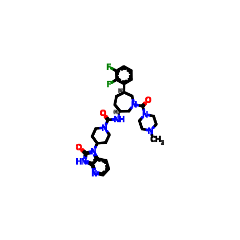 CN1CCN(C(=O)N2C[C@H](NC(=O)N3CCC(n4c(=O)[nH]c5ncccc54)CC3)CC[C@@H](c3cccc(F)c3F)C2)CC1